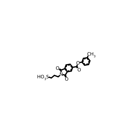 Cc1cccc(OC(=O)c2ccc3c(c2)C(=O)N(CCCS(=O)(=O)O)C3=O)c1